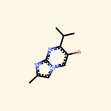 Cc1cn2cc(Br)c(C(C)C)nc2n1